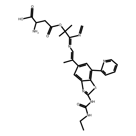 C=N/C(=N\C=C(/C)c1cc(-c2ccccn2)c2sc(NC(=O)NCC)nc2c1)C(C)(C)OC(=O)CC(N)C(=O)O